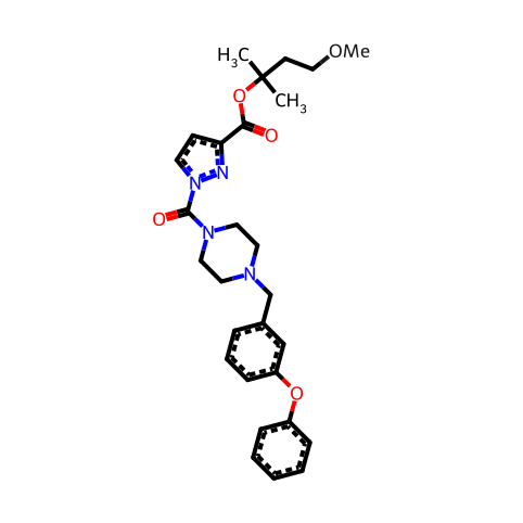 COCCC(C)(C)OC(=O)c1ccn(C(=O)N2CCN(Cc3cccc(Oc4ccccc4)c3)CC2)n1